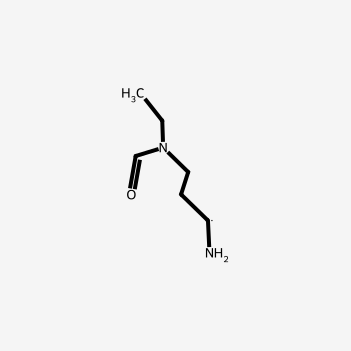 CCN(C=O)CC[CH]N